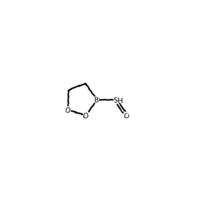 O=[SH]B1CCOO1